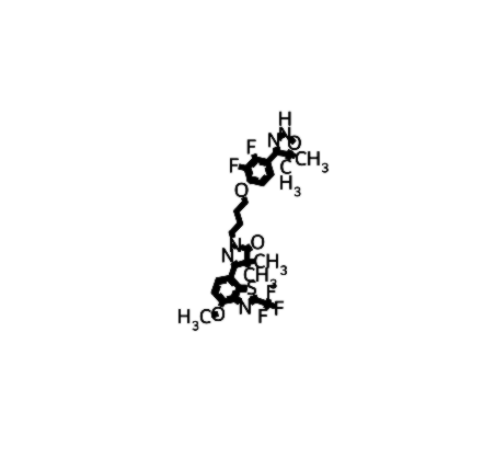 COc1ccc(C2=NN(CCCCOc3ccc(C4=NNOC4(C)C)c(F)c3F)C(=O)C2(C)C)c2sc(C(F)(F)F)nc12